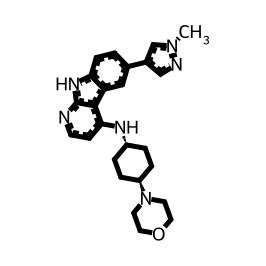 Cn1cc(-c2ccc3[nH]c4nccc(N[C@H]5CC[C@H](N6CCOCC6)CC5)c4c3c2)cn1